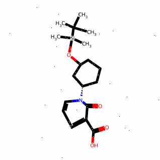 CC(C)(C)[Si](C)(C)OC1CCC[C@H](n2cccc(C(=O)O)c2=O)C1